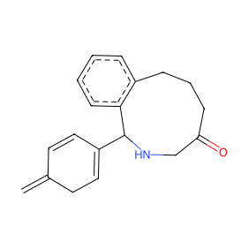 C=C1C=CC(C2NCC(=O)CCCc3ccccc32)=CC1